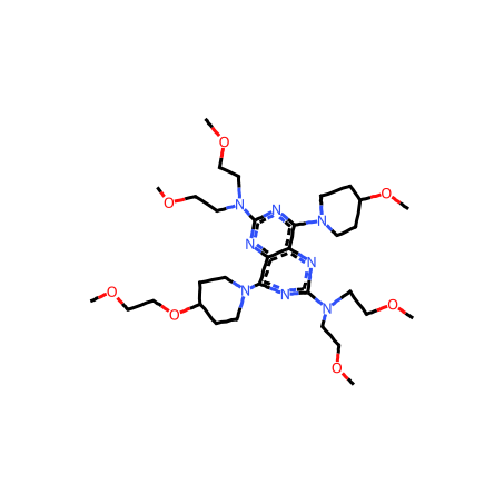 COCCOC1CCN(c2nc(N(CCOC)CCOC)nc3c(N4CCC(OC)CC4)nc(N(CCOC)CCOC)nc23)CC1